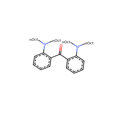 CCCCCCCCN(CCCCCCCC)c1ccccc1C(=O)c1ccccc1N(CCCCCCCC)CCCCCCCC